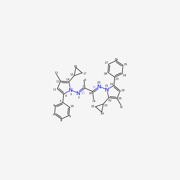 CC(=N\n1c(-c2ccccc2)cc(C)c1C1CC1)/C(C)=N/n1c(-c2ccccc2)cc(C)c1C1CC1